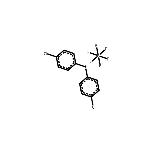 Clc1ccc([I+]c2ccc(Cl)cc2)cc1.F[P-](F)(F)(F)(F)F